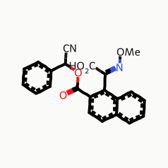 CON=C(C(=O)O)c1c(C(=O)OC(C#N)c2ccccc2)ccc2ccccc12